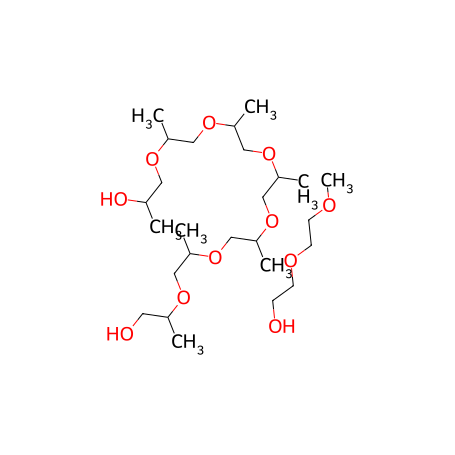 CC(O)COC(C)COC(C)COC(C)COC(C)COC(C)COC(C)CO.COCCOCCO